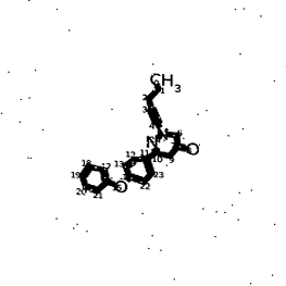 CCCC#CN1CC(=O)CC(c2ccc(Oc3ccccc3)cc2)=N1